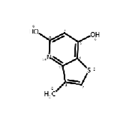 Cc1csc2c(O)cc(O)nc12